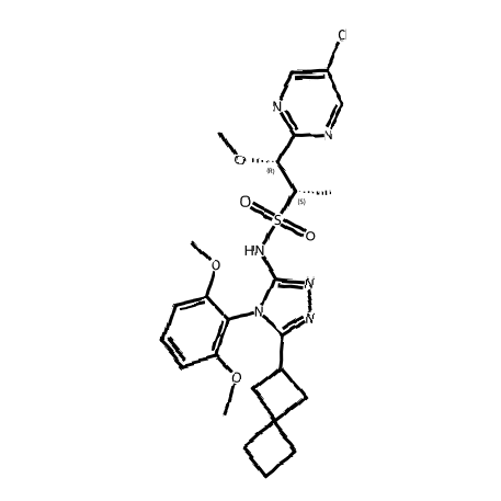 COc1cccc(OC)c1-n1c(NS(=O)(=O)[C@@H](C)[C@H](OC)c2ncc(Cl)cn2)nnc1C1CC2(CCC2)C1